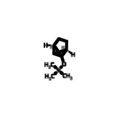 C[Si](C)(C)OC1=C[C@H]2CC[C@@H]1C2